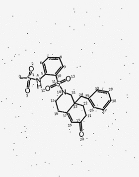 CS(=O)(=O)Nc1ccccc1S(=O)(=O)N1CCC2=CC(=O)CCC2(Cc2ccccc2)C1